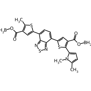 BOC(=O)c1cc(-c2ccc(-c3cc(C(=O)OB)c(-c4ccc(C)n4C)s3)c3nsnc23)sc1C